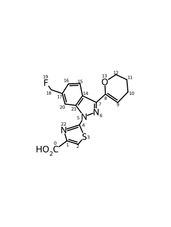 O=C(O)c1csc(-n2nc(C3=CCCCO3)c3ccc(CF)cc32)n1